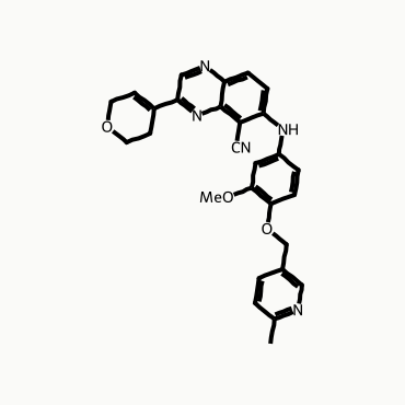 COc1cc(Nc2ccc3ncc(C4=CCOCC4)nc3c2C#N)ccc1OCc1ccc(C)nc1